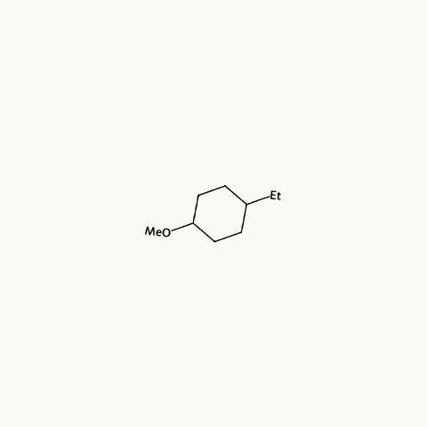 [CH2]CC1CCC(OC)CC1